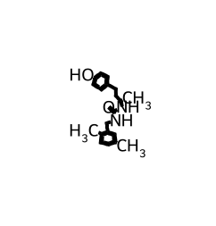 Cc1ccc(C)c(CNC(=O)NC(C)CCc2ccc(O)cc2)c1